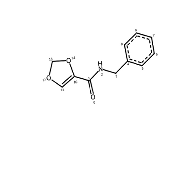 O=C(NCc1ccccc1)C1=COCO1